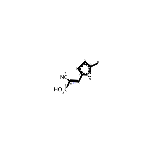 Cc1ccc(/C=C(\C#N)C(=O)O)o1